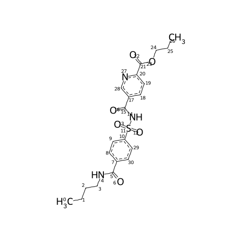 CCCCNC(=O)c1ccc(S(=O)(=O)NC(=O)c2ccc(C(=O)OCCC)nc2)cc1